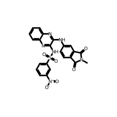 CN1C(=O)c2ccc(Nc3nc4ccccc4nc3NS(=O)(=O)c3cccc([N+](=O)[O-])c3)cc2C1=O